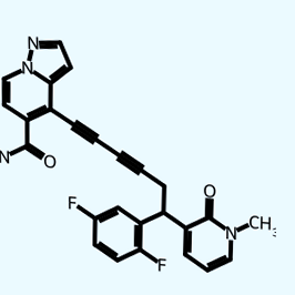 Cn1cccc(C(CC#CC#Cc2c(C(N)=O)ccn3nccc23)c2cc(F)ccc2F)c1=O